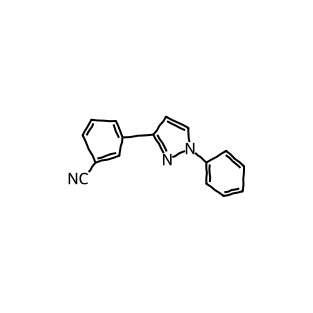 N#Cc1cccc(-c2ccn(-c3ccccc3)n2)c1